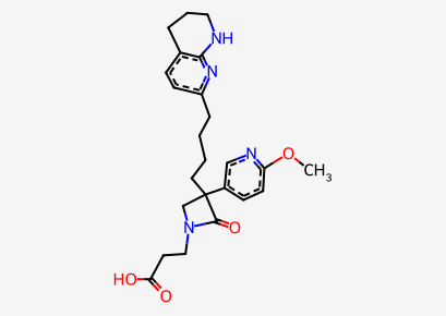 COc1ccc(C2(CCCCc3ccc4c(n3)NCCC4)CN(CCC(=O)O)C2=O)cn1